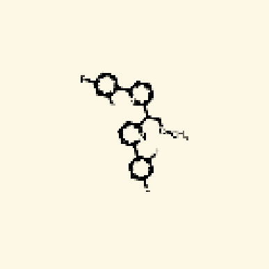 COCC(c1cccc(-c2ccc(F)cc2F)n1)c1cccc(-c2ccc(F)cc2F)n1